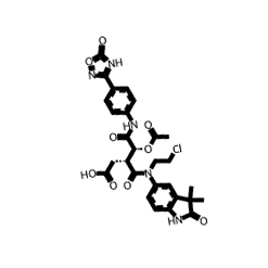 CC(=O)O[C@@H](C(=O)Nc1ccc(-c2noc(=O)[nH]2)cc1)[C@@H](CC(=O)O)C(=O)N(CCCl)c1ccc2c(c1)C(C)(C)C(=O)N2